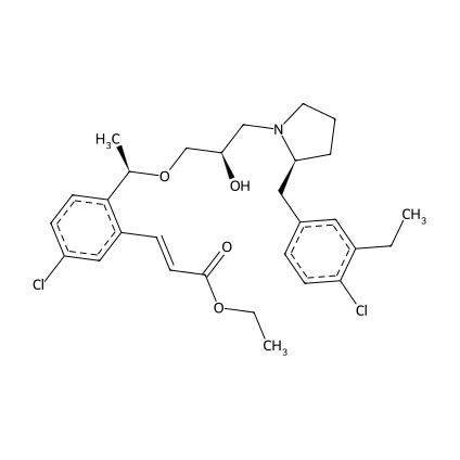 CCOC(=O)/C=C/c1cc(Cl)ccc1[C@@H](C)OC[C@H](O)CN1CCC[C@H]1Cc1ccc(Cl)c(CC)c1